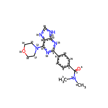 CN(C)C(=O)c1ccc(-c2nc(N3CCOCC3)c3nc[nH]c3n2)cc1